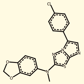 CN(c1ccc2c(c1)OCO2)c1nn2c(-c3ccc(Cl)cc3)cnc2s1